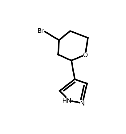 BrC1CCOC(c2cn[nH]c2)C1